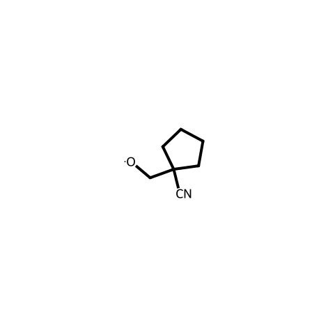 N#CC1(C[O])CCCC1